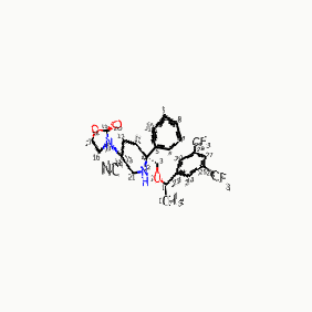 C[C@@H](OC[C@@]1(c2ccccc2)CC[C@](C#N)(N2CCOC2=O)CN1)c1cc(C(F)(F)F)cc(C(F)(F)F)c1